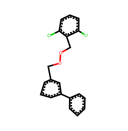 Clc1cccc(Cl)c1COOCc1cccc(-c2ccccc2)c1